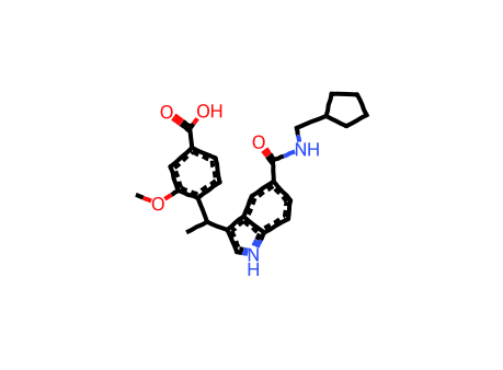 COc1cc(C(=O)O)ccc1C(C)c1c[nH]c2ccc(C(=O)NCC3CCCC3)cc12